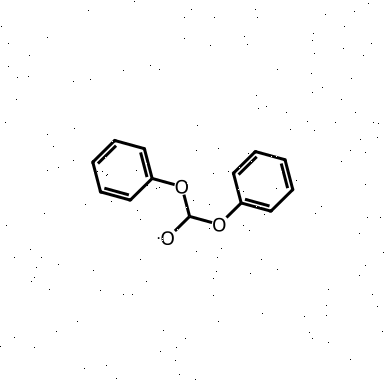 [O]C(Oc1ccccc1)Oc1ccccc1